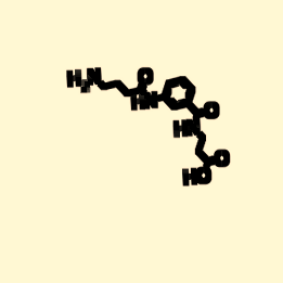 NCCCC(=O)Nc1cccc(C(=O)NCCC(=O)O)c1